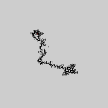 [N-]=[N+]=NCOC1CC(N2C=C(C#CCNC(=O)COC(COc3cccc(C(=O)NCCCCCNC(=O)CCCCCNC(=O)COc4cc(S(=O)(=O)O)c5ccc6c(S(=O)(=O)O)cc(S(=O)(=O)O)c7ccc4c5c76)c3)N=[N+]=[N-])C(N)=NC2O)OC1COP(=O)(O)OP(=O)(O)OP(=O)(O)O